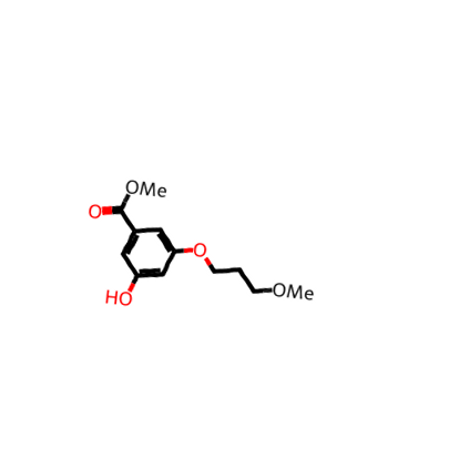 COCCCOc1cc(O)cc(C(=O)OC)c1